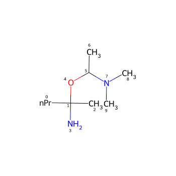 CCCC(C)(N)OC(C)N(C)C